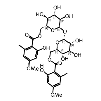 COc1cc(C)c(C(=O)OC[C@H]2O[C@H](O[C@H]3O[C@H](COC(=O)c4c(C)cc(OC)cc4O)[C@@H](O)[C@H](O)[C@H]3O)[C@H](O)[C@@H](O)[C@@H]2O)c(O)c1